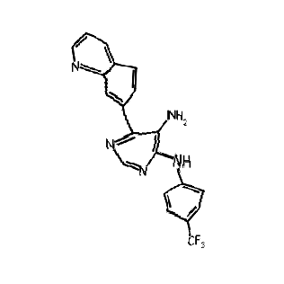 Nc1c(Nc2ccc(C(F)(F)F)cc2)ncnc1-c1ccc2cccnc2c1